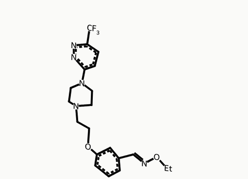 CCON=Cc1cccc(OCCN2CCN(c3ccc(C(F)(F)F)nn3)CC2)c1